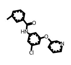 Cc1cccc(C(=O)Nc2cc(Cl)cc(Oc3cccnc3)c2)c1